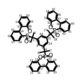 CC(C)(c1cc(C(C)(C)P2(=O)Oc3ccccc3-c3ccccc32)cc(C(C)(C)P2(=O)Oc3ccccc3-c3ccccc32)c1)P1(=O)Oc2ccccc2-c2ccccc21